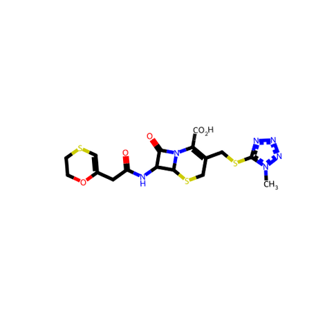 Cn1nnnc1SCC1=C(C(=O)O)N2C(=O)C(NC(=O)CC3=CSCCO3)C2SC1